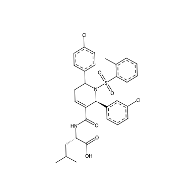 Cc1ccccc1S(=O)(=O)N1C(c2ccc(Cl)cc2)CC=C(C(=O)N[C@@H](CC(C)C)C(=O)O)[C@@H]1c1cccc(Cl)c1